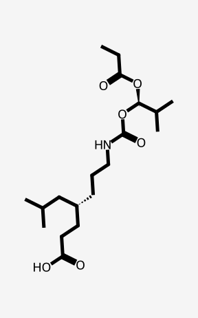 CCC(=O)O[C@H](OC(=O)NCCC[C@H](CCC(=O)O)CC(C)C)C(C)C